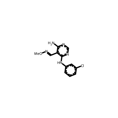 CO/N=C/c1c(N)ncnc1Nc1cccc(Cl)c1